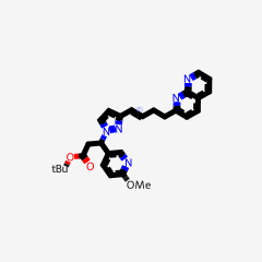 COc1ccc(C(CC(=O)OC(C)(C)C)n2ccc(/C=C/CCc3ccc4cccnc4n3)n2)cn1